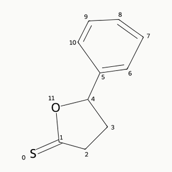 S=C1CCC(c2ccccc2)O1